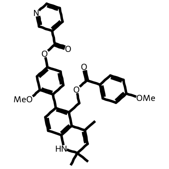 COc1ccc(C(=O)OCc2c(-c3ccc(OC(=O)c4cccnc4)cc3OC)ccc3c2C(C)=CC(C)(C)N3)cc1